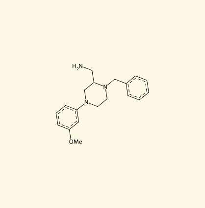 COc1cccc(N2CCN(Cc3ccccc3)C(CN)C2)c1